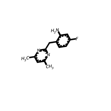 Cc1cc(C)nc(Cc2ccc(F)cc2N)n1